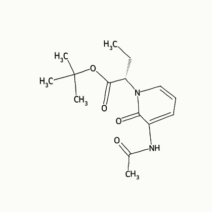 CC[C@@H](C(=O)OC(C)(C)C)n1cccc(NC(C)=O)c1=O